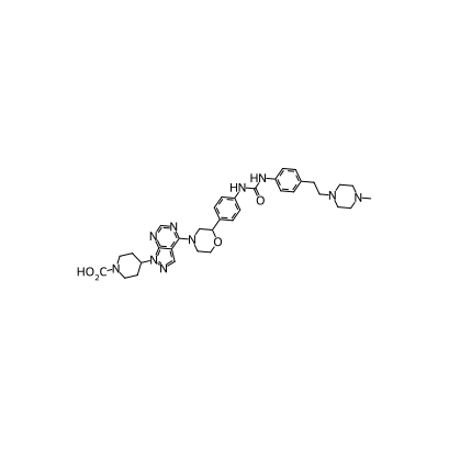 CN1CCN(CCc2ccc(NC(=O)Nc3ccc(C4CN(c5ncnc6c5cnn6C5CCN(C(=O)O)CC5)CCO4)cc3)cc2)CC1